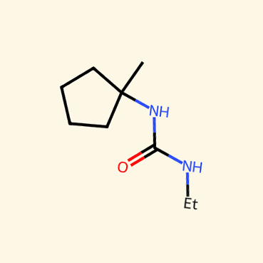 CCNC(=O)NC1(C)CCCC1